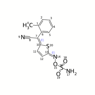 Cc1ccccc1/C(C#N)=C1C=C/C(=N\OS(N)(=O)=O)S/1